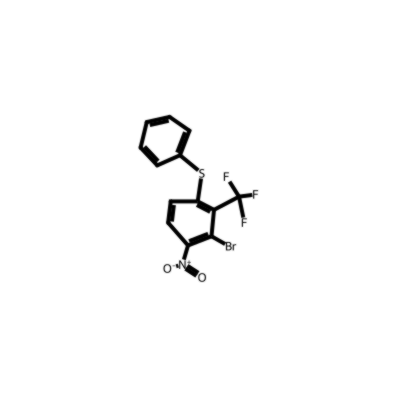 O=[N+]([O-])c1ccc(Sc2ccccc2)c(C(F)(F)F)c1Br